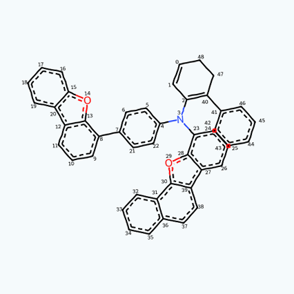 C1=CC(N(c2ccc(-c3cccc4c3oc3ccccc34)cc2)c2cccc3c2oc2c4ccccc4ccc32)=C(c2ccccc2)CC1